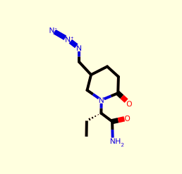 CC[C@@H](C(N)=O)N1CC(CN=[N+]=[N-])CCC1=O